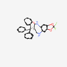 O=C1Nc2cc3c(cc2NC[C@@H]1C(c1ccccc1)(c1ccccc1)c1ccccc1)OC(F)(F)O3